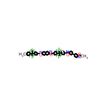 Cc1ccc(C(c2ccc(-c3nc4cc5cc6nc(-c7ccc(C(c8ccc(-c9nc%10ccc(-c%11ccc%12nc(C)oc%12c%11)cc%10o9)cc8)(C(F)(F)F)C(F)(F)F)cc7)oc6cc5cc4o3)cc2)(C(F)(F)F)C(F)(F)F)cc1